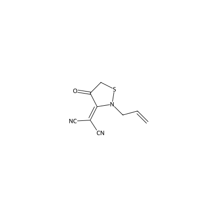 C=CCN1SCC(=O)C1=C(C#N)C#N